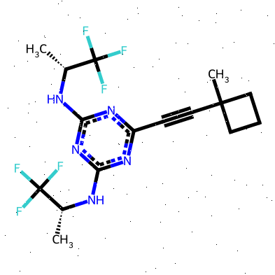 C[C@@H](Nc1nc(C#CC2(C)CCC2)nc(N[C@H](C)C(F)(F)F)n1)C(F)(F)F